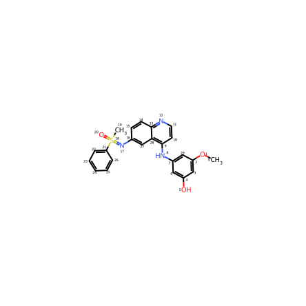 COc1cc(O)cc(Nc2ccnc3ccc(N=S(C)(=O)c4ccccc4)cc23)c1